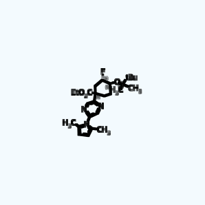 CCOC(=O)[C@]1(c2cnc(-n3c(C)ccc3C)cn2)CC[C@H](O[Si](C)(C)C(C)(C)C)[C@@H](F)C1